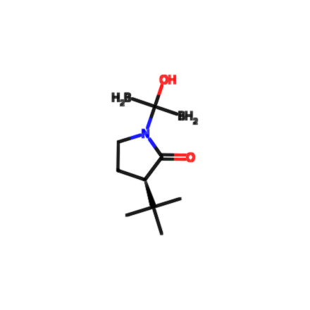 BC(B)(O)N1CC[C@H](C(C)(C)C)C1=O